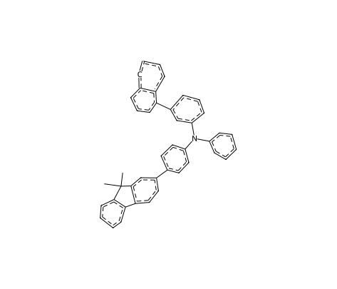 CC1(C)c2ccccc2-c2ccc(-c3ccc(N(c4ccccc4)c4cccc(-c5cccc6ccccc56)c4)cc3)cc21